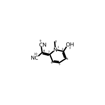 CN1C(O)=CC=CC1=C(C#N)C#N